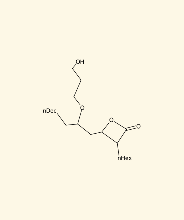 CCCCCCCCCCCC(CC1OC(=O)C1CCCCCC)OCCCO